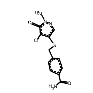 CC(C)(C)n1ncc(SCc2ccc(C(N)=O)cc2)c(Cl)c1=O